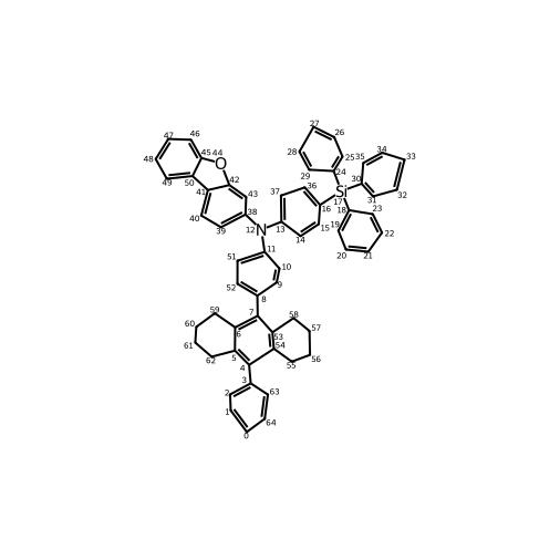 c1ccc(-c2c3c(c(-c4ccc(N(c5ccc([Si](c6ccccc6)(c6ccccc6)c6ccccc6)cc5)c5ccc6c(c5)oc5ccccc56)cc4)c4c2CCCC4)CCCC3)cc1